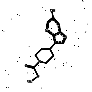 CC(C)(C)OC(=O)N1CCC(c2csc3cc(O)cnc23)CC1